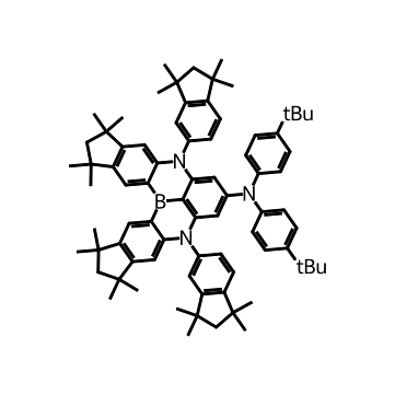 CC(C)(C)c1ccc(N(c2ccc(C(C)(C)C)cc2)c2cc3c4c(c2)N(c2ccc5c(c2)C(C)(C)CC5(C)C)c2cc5c(cc2B4c2cc4c(cc2N3c2ccc3c(c2)C(C)(C)CC3(C)C)C(C)(C)CC4(C)C)C(C)(C)CC5(C)C)cc1